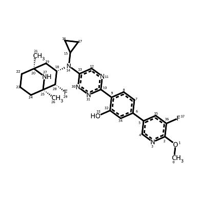 COc1ncc(-c2ccc(-c3ncc(N(C4CC4)[C@H]4C[C@]5(C)CCC[C@@](C)(N5)[C@H]4F)nn3)c(O)c2)cc1F